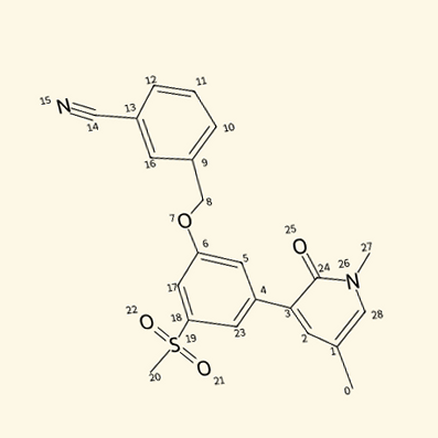 Cc1cc(-c2cc(OCc3cccc(C#N)c3)cc(S(C)(=O)=O)c2)c(=O)n(C)c1